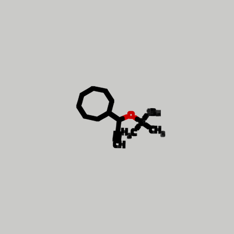 C#CC(O[Si](C)(C)C(C)(C)C)C1CCCCCCC1